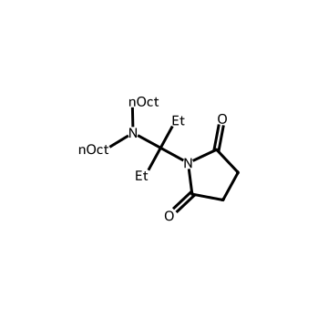 CCCCCCCCN(CCCCCCCC)C(CC)(CC)N1C(=O)CCC1=O